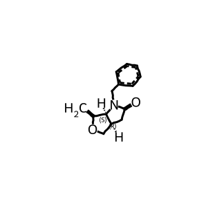 C=C1OC[C@@H]2CC(=O)N(Cc3ccccc3)[C@H]12